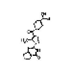 CCC(C#N)C1=CCN(C(=O)c2cnn(-c3nc4c(c(=O)[nH]3)CCC4)c2C)CC1